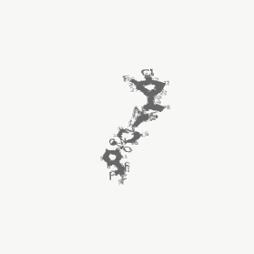 O=S(=O)(c1cccc(C(F)(F)F)c1)N1CCN(c2nc(-c3ccc(Cl)c(F)c3)cs2)CC1